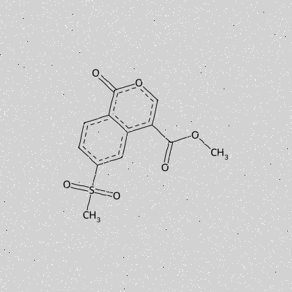 COC(=O)c1coc(=O)c2ccc(S(C)(=O)=O)cc12